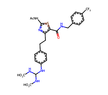 CC(=O)Nc1nc(CCc2ccc(NC(NC(=O)O)NC(=O)O)cc2)c(C(=O)NCc2ccc(C(F)(F)F)cc2)s1